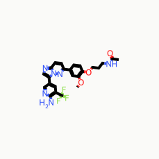 COc1cc(-c2ccc3ncc(-c4cnc(N)c(C(F)(F)F)c4)n3n2)ccc1OCCCNC(C)=O